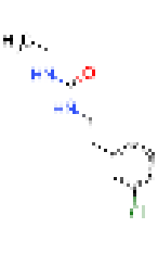 CCNC(=O)NCCc1cccc(Cl)c1